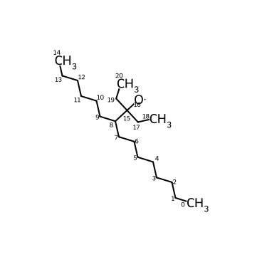 CCCCCCCCC(CCCCCC)C([O])(CC)CC